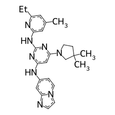 CCc1cc(C)cc(Nc2nc(Nc3ccn4ccnc4c3)cc(N3CCC(C)(C)C3)n2)n1